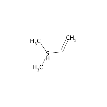 C=C[SH](C)C